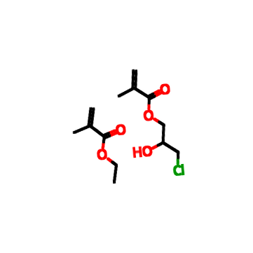 C=C(C)C(=O)OCC.C=C(C)C(=O)OCC(O)CCl